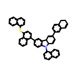 C1=Cc2cc(C3=CC4c5cc(-c6ccc(Sc7cccc8ccccc78)c7ccccc67)ccc5N(c5cccc6ccccc56)C4C=C3)ccc2CC1